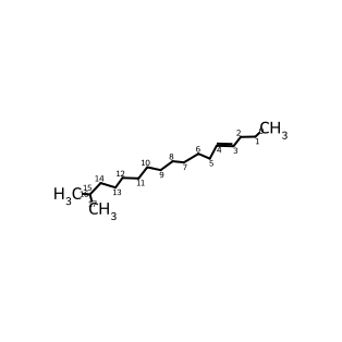 CCCC=CCCCCCCCCCCC(C)C